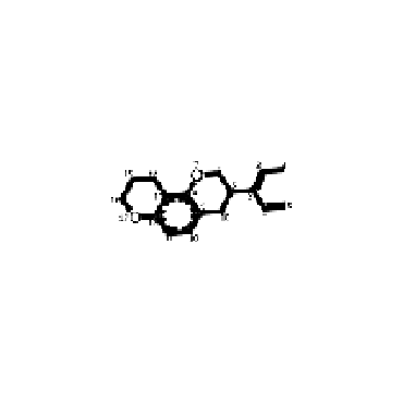 C=C/C(=C\C)C1COc2c(ccc3c2CCCO3)C1